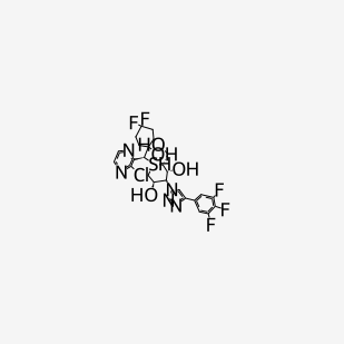 OC[C@@H]1[C@H](O)[C@@H](n2cc(-c3cc(F)c(F)c(F)c3)nn2)[C@@H](O)C[SH]1[C@@H](c1nccnc1Cl)C1(O)CCC(F)(F)CC1